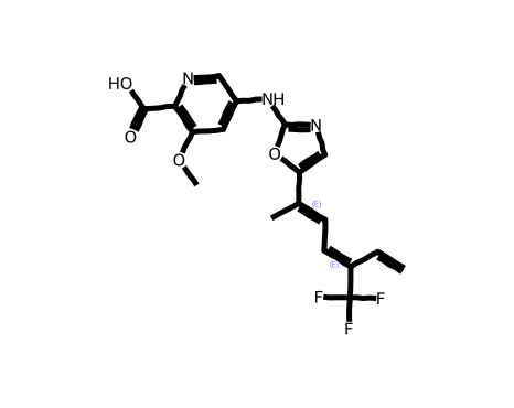 C=C/C(=C\C=C(/C)c1cnc(Nc2cnc(C(=O)O)c(OC)c2)o1)C(F)(F)F